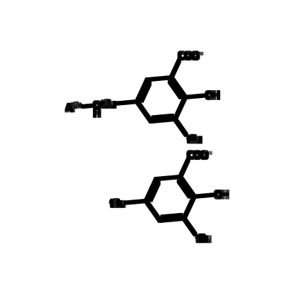 CC(C)(C)c1cc(C(=O)[O-])c(O)c(C(C)(C)C)c1.CC(C)(C)c1cc(C(=O)[O-])c(O)c(C(C)(C)C)c1.[OH][Al+2]